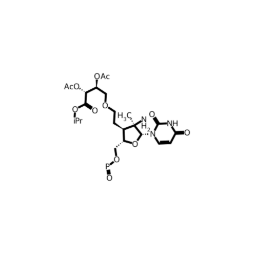 CC(=O)O[C@@H](COCC[C@@H]1[C@@H](COP=O)O[C@@H](n2ccc(=O)[nH]c2=O)[C@]1(C)N)[C@@H](OC(C)=O)C(=O)OC(C)C